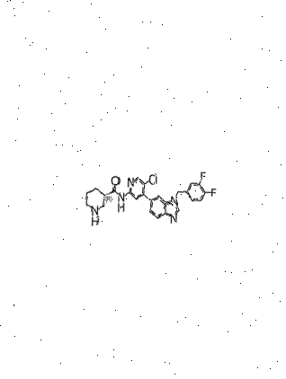 O=C(Nc1cc(-c2ccc3ncn(Cc4ccc(F)c(F)c4)c3c2)c(Cl)cn1)[C@@H]1CCCNC1